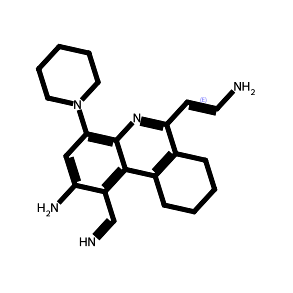 N=Cc1c(N)cc(N2CCCCC2)c2nc(/C=C/N)c3c(c12)CCCC3